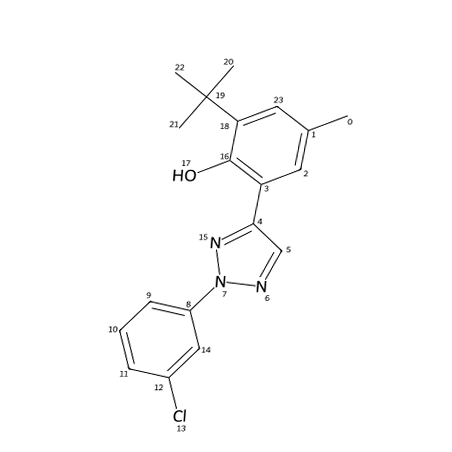 Cc1cc(-c2cnn(-c3cccc(Cl)c3)n2)c(O)c(C(C)(C)C)c1